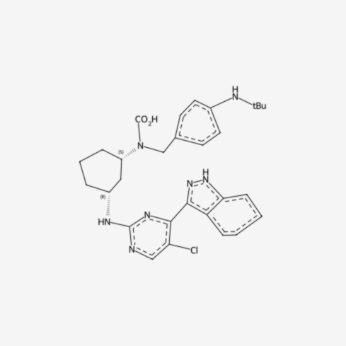 CC(C)(C)Nc1ccc(CN(C(=O)O)[C@H]2CCC[C@@H](Nc3ncc(Cl)c(-c4n[nH]c5ccccc45)n3)C2)cc1